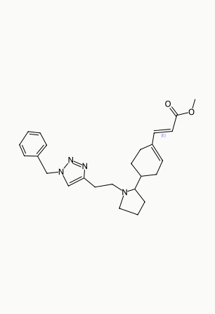 COC(=O)/C=C/C1=CCC(C2CCCN2CCc2cn(Cc3ccccc3)nn2)CC1